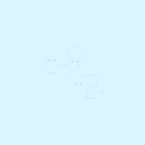 C[C@@H](Nc1ncnc2[nH]cnc12)c1nc2cccnc2n1-c1ccccc1